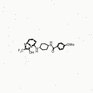 COc1ccc(C(=O)N[C@H]2CC[C@@H](Nc3cccc4nc(C(F)(F)F)c(O)n34)CC2)cc1